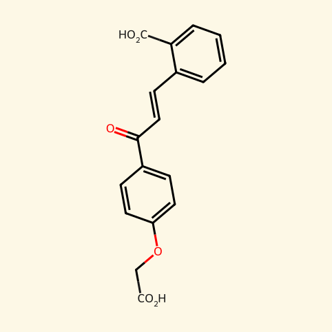 O=C(O)COc1ccc(C(=O)C=Cc2ccccc2C(=O)O)cc1